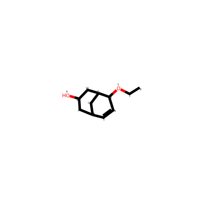 CCOC1C=CC2CC(O)CC1C2